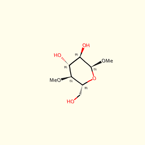 CO[C@H]1O[C@H](CO)[C@@H](OC)[C@H](O)[C@H]1O